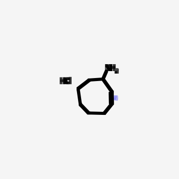 Cl.NC1/C=C\CCCCC1